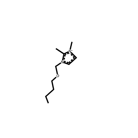 CCCCOCn1cc[n+](C)c1C